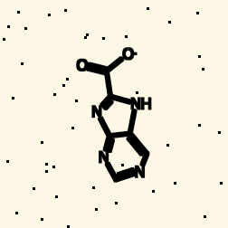 [O]C(=O)c1nc2ncncc2[nH]1